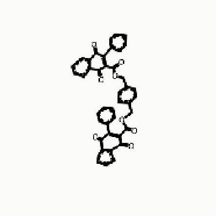 O=C(OCc1ccc(COC(=O)C2=C(c3ccccc3)C(=O)c3ccccc3C2=O)cc1)C1=C(c2ccccc2)C(=O)c2ccccc2C1=O